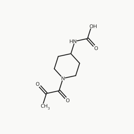 CC(=O)C(=O)N1CCC(NC(=O)O)CC1